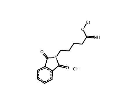 CCOC(=N)CCCCN1C(=O)c2ccccc2C1=O.Cl